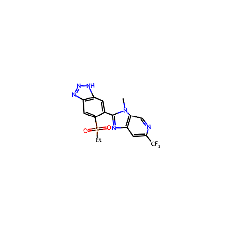 CCS(=O)(=O)c1cc2nn[nH]c2cc1-c1nc2cc(C(F)(F)F)ncc2n1C